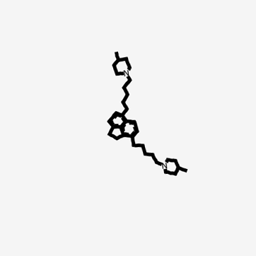 CC1CCN(CCCCCc2ccc3c(CCCCCN4CCC(C)CC4)ccc4c3c2CC4)CC1